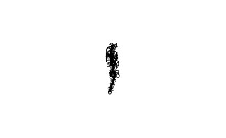 CCCCCCCC1CCC(CCc2ccc(-c3ncc(OCCC)cn3)cc2)CC1